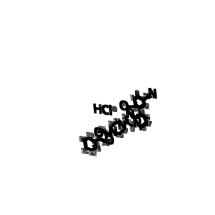 C[C@H](CN(C(=O)c1ccc(C#N)cc1)c1ccccn1)N1CCN(C2=COC(C3=CC=CCC3)=CO2)CC1.Cl